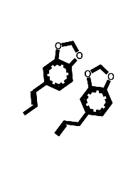 C/C=C/c1ccc2c(c1)OCO2.C=CCc1ccc2c(c1)OCO2